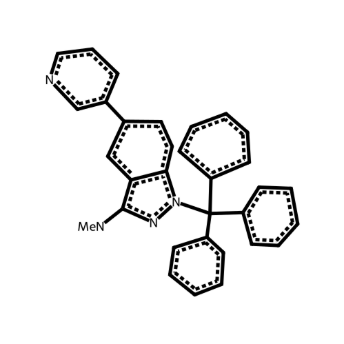 CNc1nn(C(c2ccccc2)(c2ccccc2)c2ccccc2)c2ccc(-c3cccnc3)cc12